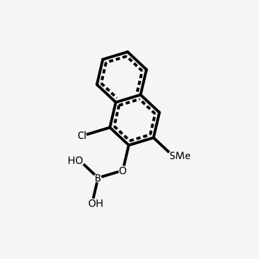 CSc1cc2ccccc2c(Cl)c1OB(O)O